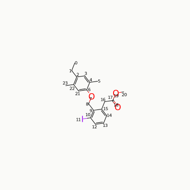 CCc1cc(C)c(OCc2c(I)cccc2CC(=O)OC)cc1C